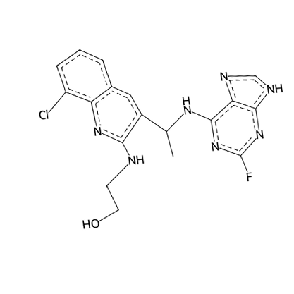 CC(Nc1nc(F)nc2[nH]cnc12)c1cc2cccc(Cl)c2nc1NCCO